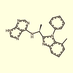 Cc1cccc2nc([C@H](C)Nc3ncnc4[nH]cnc34)n(-c3ccccc3)c12